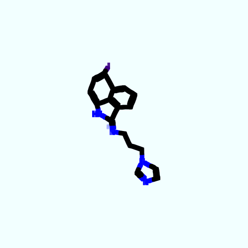 Ic1ccc2c3c(cccc13)/C(=N\CCCn1ccnc1)N2